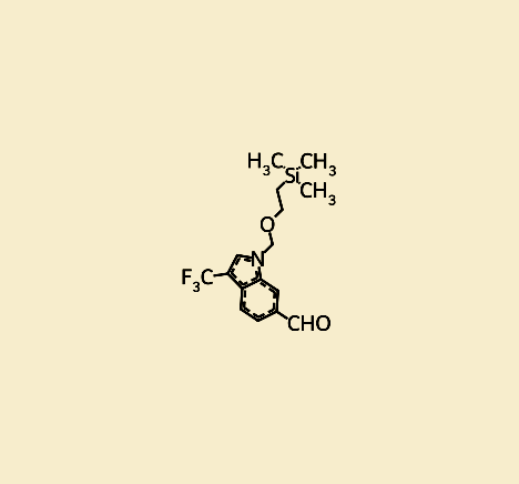 C[Si](C)(C)CCOCn1cc(C(F)(F)F)c2ccc(C=O)cc21